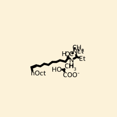 CC(O)C(=O)[O-].CCCCCCCC/C=C\CCCCCCCC(=O)NC(CC)[N+](C)(C)CC